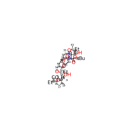 CC[C@@H](C(=O)[C@@H](C)[C@@H](O)[C@H](C)[C@@H]1O[C@@H]([C@@H](CC)C(=O)O)CC[C@@H]1C)[C@H]1O[C@]2(C=CC(NC(=O)OC(C)(C)C)[C@]3(CC[C@@](C)([C@H]4CC[C@](O)(CC)[C@H](C)O4)O3)O2)[C@H](C)C[C@@H]1C